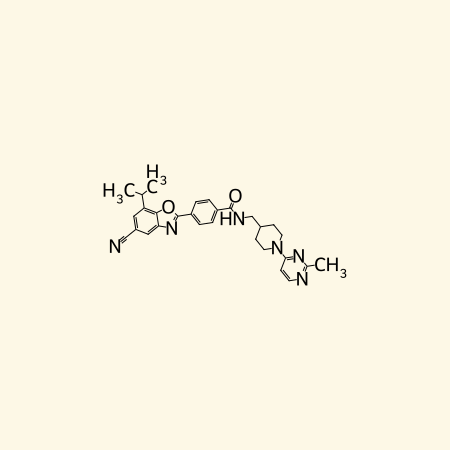 Cc1nccc(N2CCC(CNC(=O)c3ccc(-c4nc5cc(C#N)cc(C(C)C)c5o4)cc3)CC2)n1